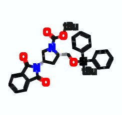 CC(C)(C)OC(=O)N1C[C@@H](N2C(=O)c3ccccc3C2=O)C[C@H]1CO[Si](c1ccccc1)(c1ccccc1)C(C)(C)C